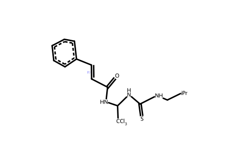 CC(C)CNC(=S)NC(NC(=O)/C=C/c1ccccc1)C(Cl)(Cl)Cl